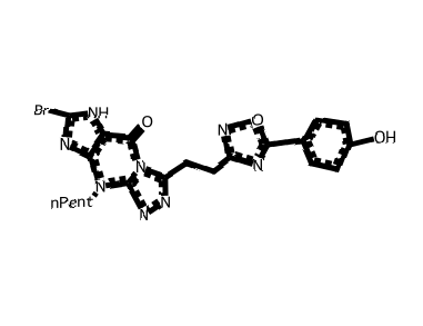 CCCCCn1c2nc(Br)[nH]c2c(=O)n2c(CCc3noc(-c4ccc(O)cc4)n3)nnc12